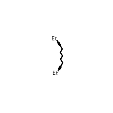 CCC#CCCCCCC#CCC